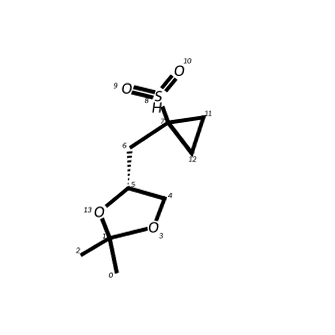 CC1(C)OC[C@@H](CC2([SH](=O)=O)CC2)O1